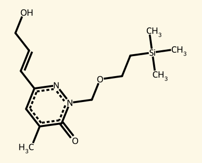 Cc1cc(/C=C/CO)nn(COCC[Si](C)(C)C)c1=O